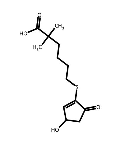 CC(C)(CCCCSC1=CC(O)CC1=O)C(=O)O